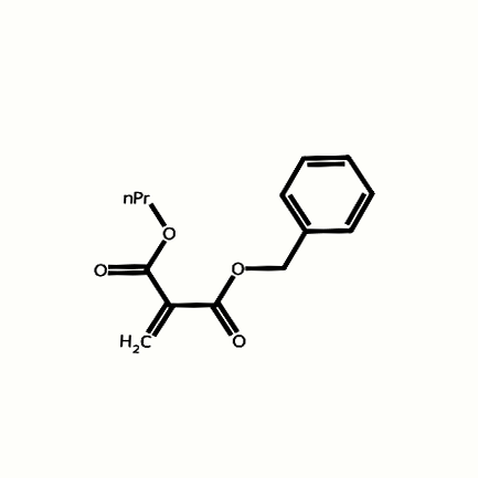 C=C(C(=O)OCCC)C(=O)OCc1ccccc1